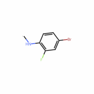 [CH2]Nc1ccc(Br)cc1F